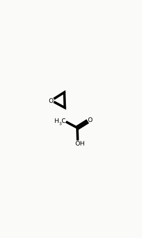 C1CO1.CC(=O)O